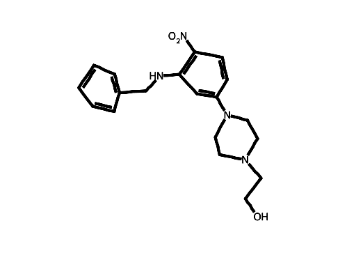 O=[N+]([O-])c1ccc(N2CCN(CCO)CC2)cc1NCc1ccccc1